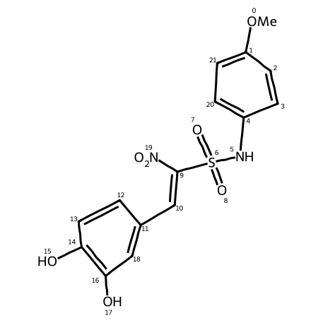 COc1ccc(NS(=O)(=O)/C(=C/c2ccc(O)c(O)c2)[N+](=O)[O-])cc1